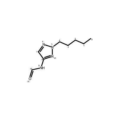 CCCCCn1ncc(NC=O)n1